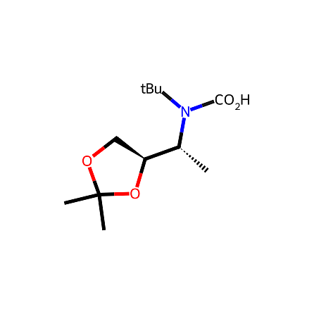 C[C@H]([C@@H]1COC(C)(C)O1)N(C(=O)O)C(C)(C)C